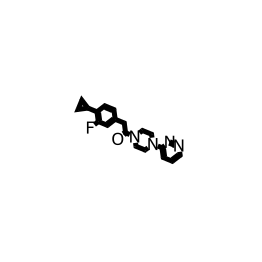 O=C(Cc1ccc(C2CC2)c(F)c1)N1CCN(c2cccnn2)CC1